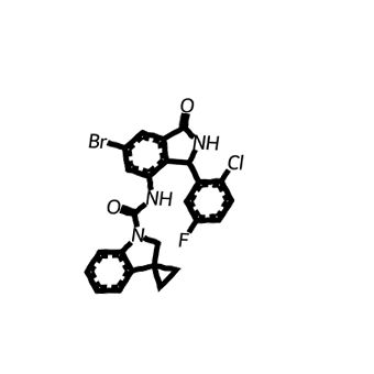 O=C1NC(c2cc(F)ccc2Cl)c2c(NC(=O)N3CC4(CC4)c4ccccc43)cc(Br)cc21